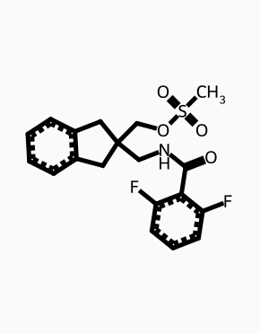 CS(=O)(=O)OCC1(CNC(=O)c2c(F)cccc2F)Cc2ccccc2C1